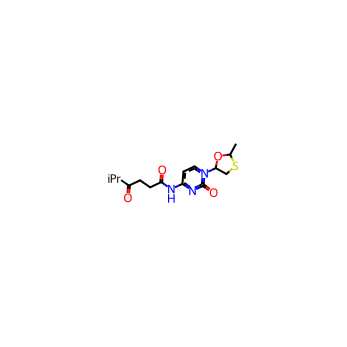 CC1OC(n2ccc(NC(=O)CCC(=O)C(C)C)nc2=O)CS1